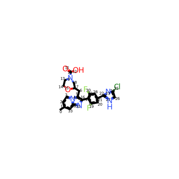 Cc1ccn2c(CC3CN(C(=O)O)CCO3)c(-c3c(F)cc(-c4nc(Cl)c[nH]4)cc3F)nc2c1